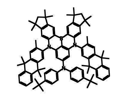 Cc1cc2c(cc1N1c3cc4c(cc3B3c5cc6c(cc5N(c5cc7c(cc5C)C(C)(C)c5ccccc5C7(C)C)c5cc(N(c7ccc(C(C)(C)C)cc7)c7ccc(C(C)(C)C)cc7)cc1c53)C(C)(C)CC6(C)C)C(C)(C)CC4(C)C)C(C)(C)c1ccccc1C2(C)C